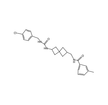 Cc1cccc(C(=O)NCC2CC3(C2)CC(NC(=O)NCc2ccc(Cl)cc2)C3)c1